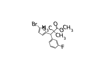 COC(=O)C(C)(C)C(c1cccc(F)c1)c1ccc(Br)s1